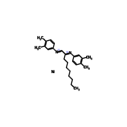 CCCCCCCCC(/C=N/c1ccc(C)c(C)c1)=N\c1ccc(C)c(C)c1.[Ni]